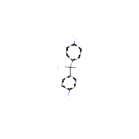 CCCC(CC)(c1ccc(N)cc1)c1ccc(N)cc1